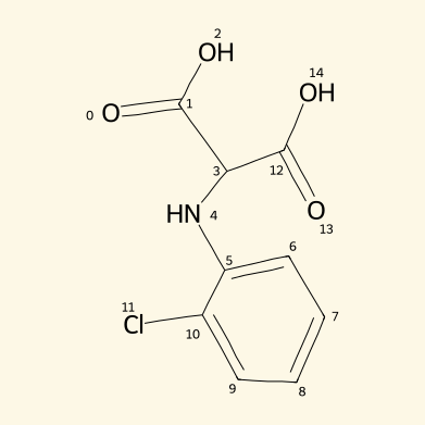 O=C(O)C(Nc1ccccc1Cl)C(=O)O